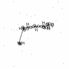 O=C(I)CC[C@H](NC(=O)CC[C@H](NC(=O)COCCOCCNC(=O)COCCOCCNC(=O)CCCS(=O)(=O)NC(=O)CCCCCCCCCCCCCCCc1nnn[nH]1)C(=O)O)C(=O)O